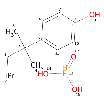 CC(C)CC(C)(C)c1ccc(O)cc1.O=[PH](O)O